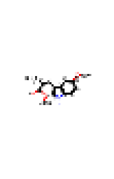 CCC(C)OC(=O)C(Cc1c[nH]c2ccc(OC(C)C)cc12)C(=O)O